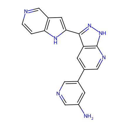 Nc1cncc(-c2cnc3[nH]nc(-c4cc5cnccc5[nH]4)c3c2)c1